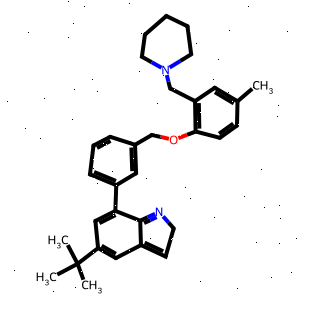 Cc1ccc(OCc2cccc(-c3cc(C(C)(C)C)cc4c3=NCC=4)c2)c(CN2CCCCC2)c1